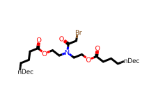 CCCCCCCCCCCCCC(=O)OCCN(CCOC(=O)CCCCCCCCCCCCC)C(=O)CBr